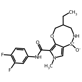 CCC1CN[S+]([O-])c2cn(C)c(C(=O)Nc3ccc(F)c(F)c3)c2OC1